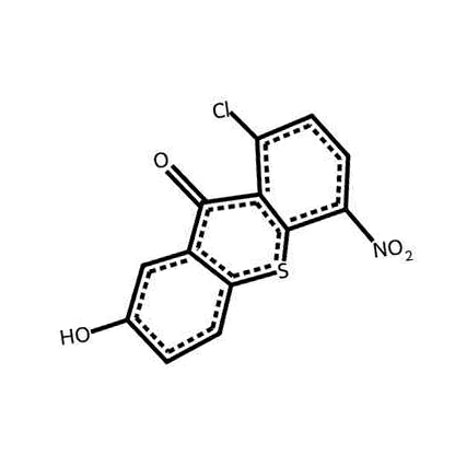 O=c1c2cc(O)ccc2sc2c([N+](=O)[O-])ccc(Cl)c12